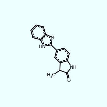 CC1C(=O)Nc2ccc(-c3nc4ccccc4[nH]3)cc21